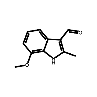 COc1cccc2c(C=O)c(C)[nH]c12